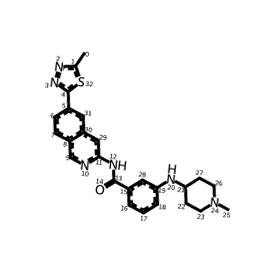 Cc1nnc(-c2ccc3cnc(NC(=O)c4cccc(NC5CCN(C)CC5)c4)cc3c2)s1